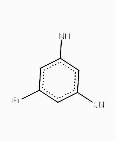 CC(C)c1cc(N)cc(C#N)c1